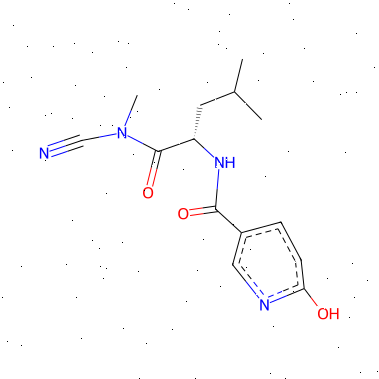 CC(C)C[C@H](NC(=O)c1ccc(O)nc1)C(=O)N(C)C#N